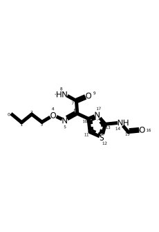 CCCCON=C(C([NH])=O)c1csc(NC=O)n1